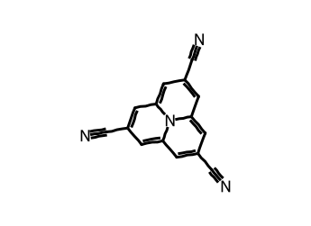 N#CC1=CC2=CC(C#N)=CC3=CC(C#N)=CC(=C1)N23